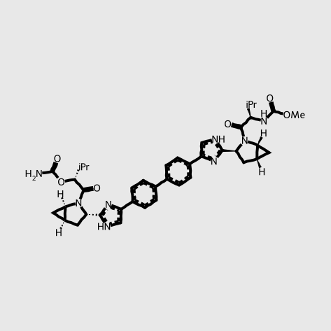 COC(=O)N[C@@H](C(=O)N1[C@@H]2C[C@@H]2C[C@H]1c1nc(-c2ccc(-c3ccc(-c4c[nH]c([C@@H]5C[C@H]6C[C@H]6N5C(=O)[C@H](OC(N)=O)C(C)C)n4)cc3)cc2)c[nH]1)C(C)C